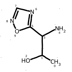 CC(O)C(N)c1ncno1